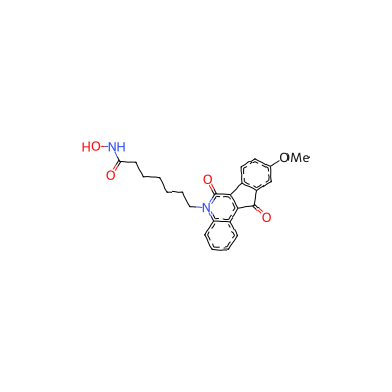 COc1ccc2c(c1)C(=O)c1c-2c(=O)n(CCCCCCC(=O)NO)c2ccccc12